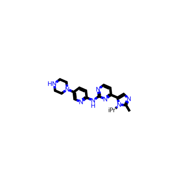 Cc1ncc(-c2ccnc(Nc3ccc(N4CCNCC4)cn3)n2)n1C(C)C